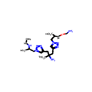 CCOC(=O)C(N)(Cc1cn(CC(BOCN)C(=O)O)nn1)Cc1cn(CC(NBOC)C(=O)O)nn1